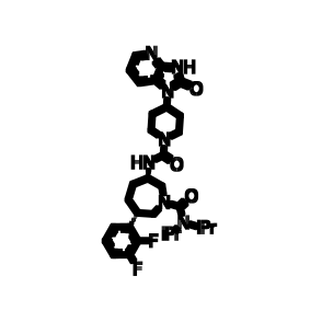 CC(C)N(C(=O)N1C[C@H](NC(=O)N2CCC(n3c(=O)[nH]c4ncccc43)CC2)CC[C@@H](c2cccc(F)c2F)C1)C(C)C